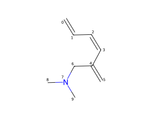 C=C/C=C\C(=C)CN(C)C